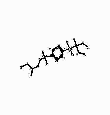 CCC(C)CC[Si](C)(C)c1ccc([Si](C)(C)C(C)(CC)CC)cc1